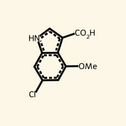 COc1cc(Cl)cc2[nH]cc(C(=O)O)c12